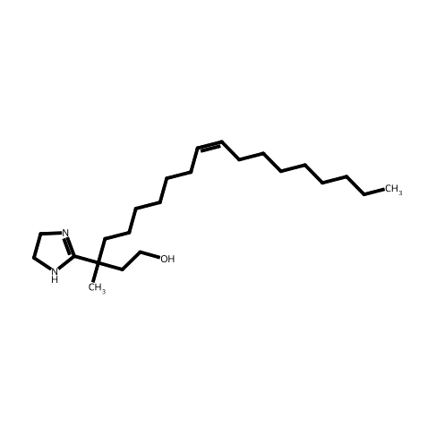 CCCCCCCC/C=C\CCCCCCC(C)(CCO)C1=NCCN1